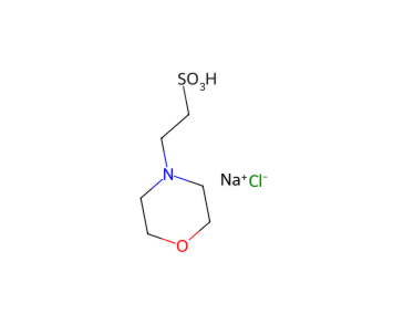 O=S(=O)(O)CCN1CCOCC1.[Cl-].[Na+]